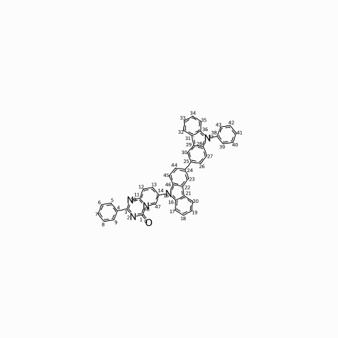 O=c1nc(-c2ccccc2)nc2ccc(-n3c4ccccc4c4cc(-c5ccc6c(c5)c5ccccc5n6-c5ccccc5)ccc43)cn12